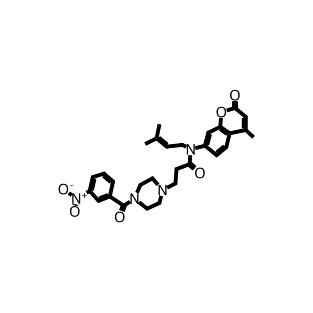 CC(C)=CCN(C(=O)CCN1CCN(C(=O)c2cccc([N+](=O)[O-])c2)CC1)c1ccc2c(C)cc(=O)oc2c1